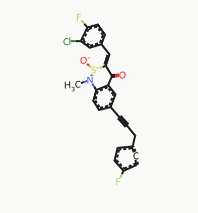 CN1c2ccc(C#CCc3ccc(F)cc3)cc2C(=O)/C(=C/c2ccc(F)c(Cl)c2)[S+]1[O-]